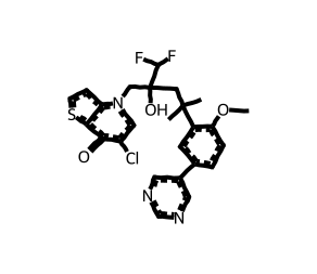 COc1ccc(-c2cncnc2)cc1C(C)(C)CC(O)(Cn1cc(Cl)c(=O)c2sccc21)C(F)F